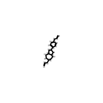 C=CCc1ccc(C2CC3CCC(CC=C)CCC3C2)cc1